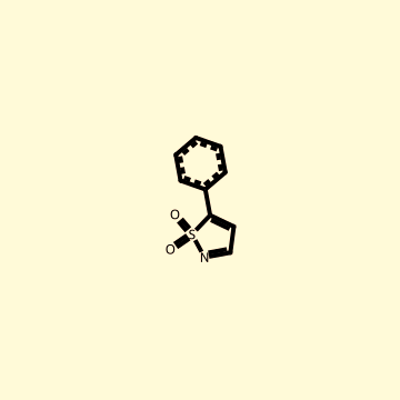 O=S1(=O)N=CC=C1c1ccccc1